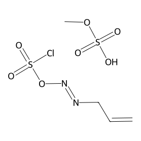 C=CCN=NOS(=O)(=O)Cl.COS(=O)(=O)O